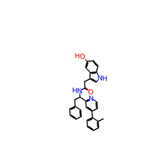 Cc1ccccc1-c1ccnc(C(Cc2ccccc2)NC(=O)Cc2c[nH]c3ccc(O)cc23)c1